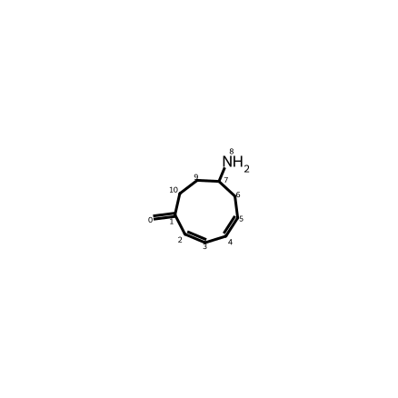 C=C1/C=C\C=C/CC(N)CC1